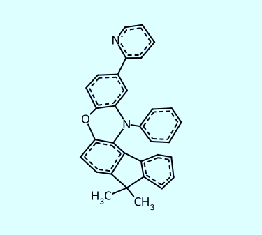 CC1(C)c2ccccc2-c2c1ccc1c2N(c2ccccc2)c2cc(-c3ccccn3)ccc2O1